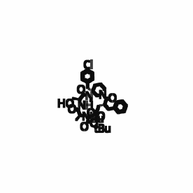 C[C@H](NC(=O)OC(C)(C)C)C(=O)N[C@@H](CO)C(=O)N(C)[C@@]1(Cc2ccc(Cl)cc2)CCCN(C(=O)[C@@H](CC(=O)OC(C)(C)C)Cc2ccccc2)C1